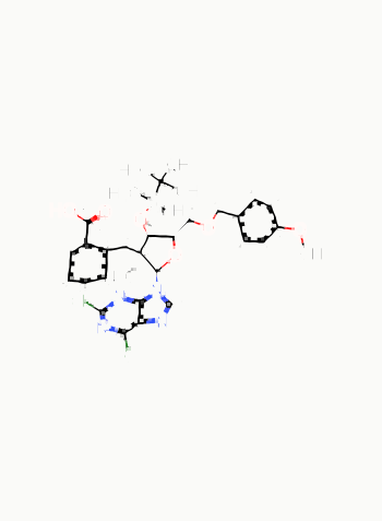 COc1ccc(COC[C@H]2O[C@@H](n3cnc4c(Cl)nc(Cl)nc43)[C@@](C)(Cc3ccccc3C(=O)O)[C@H]2O[Si](C)(C)C(C)(C)C)cc1